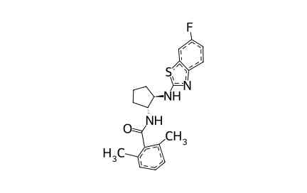 Cc1cccc(C)c1C(=O)N[C@@H]1CCC[C@H]1Nc1nc2ccc(F)cc2s1